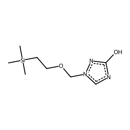 C[Si](C)(C)CCOCn1cnc(O)n1